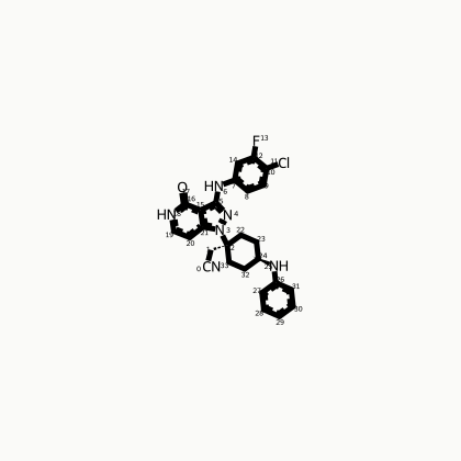 N#CC[C@]1(n2nc(Nc3ccc(Cl)c(F)c3)c3c(=O)[nH]ccc32)CC[C@@H](Nc2ccccc2)CC1